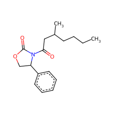 CCCCC(C)CC(=O)N1C(=O)OCC1c1ccccc1